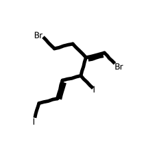 BrC=C(CCBr)C(I)C=CCI